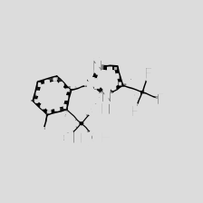 CC(C)(C)c1c(F)cccc1-n1ncc(C(F)(F)F)n1